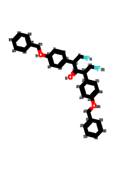 O=C(C(CF)c1ccc(OCc2ccccc2)cc1)C(CF)c1ccc(OCc2ccccc2)cc1